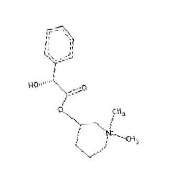 C[N+]1(C)CCCC(OC(=O)[C@H](O)c2ccccc2)C1